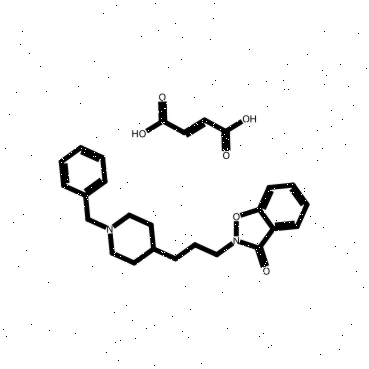 O=C(O)C=CC(=O)O.O=c1c2ccccc2on1CCCC1CCN(Cc2ccccc2)CC1